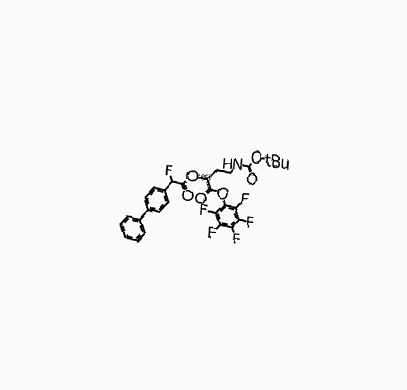 CC(C)(C)OC(=O)NCC[C@H](OC(=O)C(F)c1ccc(-c2ccccc2)cc1)C(=O)Oc1c(F)c(F)c(F)c(F)c1F